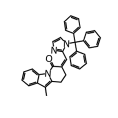 Cc1c2n(c3ccccc13)C(=O)/C(=C\c1nccn1C(c1ccccc1)(c1ccccc1)c1ccccc1)CC2